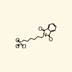 O=C1c2ccccc2C(=O)N1CCCCCCS(=O)(=O)Cl